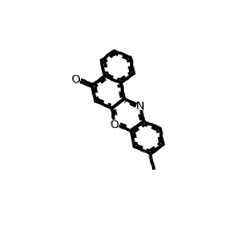 Cc1ccc2nc3c4ccccc4c(=O)cc-3oc2c1